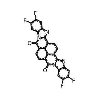 O=c1c2ccc3c(=O)n4c5cc(F)c(F)cc5nc4c4ccc(c2c34)c2nc3cc(F)c(F)cc3n12